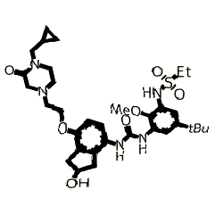 CCS(=O)(=O)Nc1cc(C(C)(C)C)cc(NC(=O)Nc2ccc(OCCN3CCN(CC4CC4)C(=O)C3)c3c2CC(O)C3)c1OC